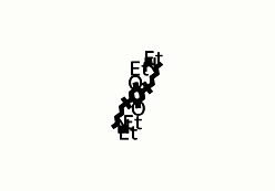 CCN(CC)C(C)CCCC(C)(C)C1=CC(=O)C(C(C)(C)CCCC(C)N(CC)CC)=CC1=O